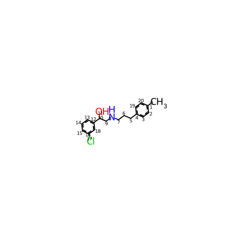 Cc1ccc(CCCNCC(O)c2cccc(Cl)c2)cc1